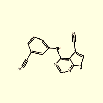 C#Cc1cccc(Nc2ncnc3[nH]cc(C#N)c23)c1